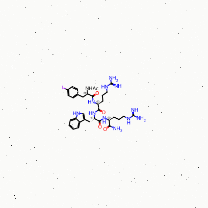 CC(=O)N[C@H](Cc1ccc(I)cc1)C(=O)N[C@@H](CCCNC(=N)N)C(=O)N[C@@H](Cc1c[nH]c2ccccc12)C(=O)N[C@@H](CCCNC(=N)N)C(N)=O